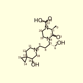 C[C@H]1C(=O)N([C@H](CO)CCN2CCC3(CC3)[C@H](O)C2)CCN1C(=O)O